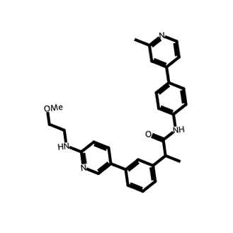 COCCNc1ccc(-c2cccc(C(C)C(=O)Nc3ccc(-c4ccnc(C)c4)cc3)c2)cn1